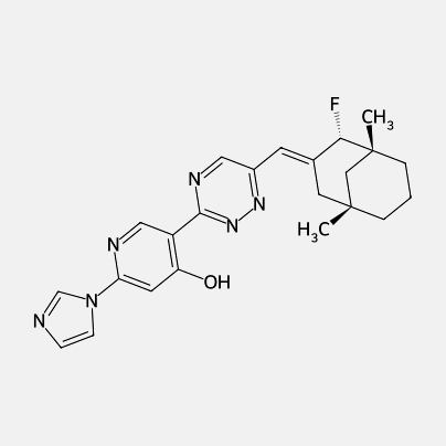 C[C@]12CCC[C@](C)(C1)[C@@H](F)/C(=C/c1cnc(-c3cnc(-n4ccnc4)cc3O)nn1)C2